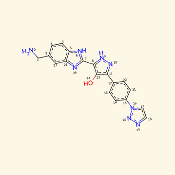 NCc1ccc2[nH]c(-c3[nH]nc(-c4ccc(-n5ccnn5)cc4)c3O)nc2c1